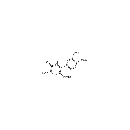 CCCCCc1cc(C#N)c(=O)[nH]c1-c1ccc(OC)c(OC)c1